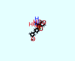 COc1cccc(-c2ccc(S(=O)(=O)C3CCOCC3(O)C(=O)NO)cc2)c1